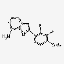 COc1ccc(-c2cn3ccnc(N)c3n2)c(F)c1F